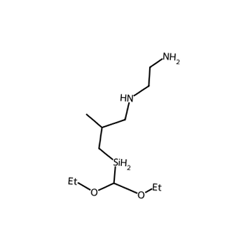 CCOC(OCC)[SiH2]CC(C)CNCCN